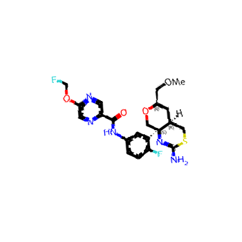 COC[C@H]1C[C@H]2CSC(N)=N[C@@]2(c2cc(NC(=O)c3cnc(OCF)cn3)ccc2F)CO1